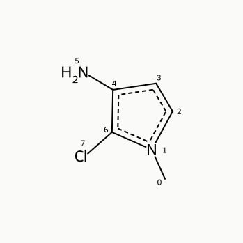 Cn1ccc(N)c1Cl